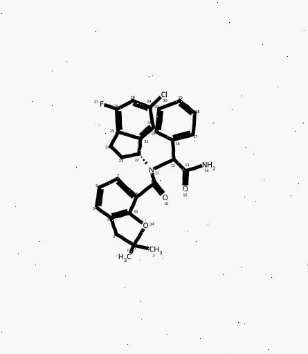 CC1(C)Cc2cccc(C(=O)N(C(C(N)=O)c3ccccc3)[C@@H]3CCc4c(F)cc(Cl)cc43)c2O1